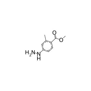 COC(=O)c1ccc(NN)cc1C